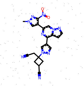 Cn1cc(-c2cn3nccc3c(-c3cnn(C4(CC#N)CC(C#N)C4)c3)n2)c([N+](=O)[O-])n1